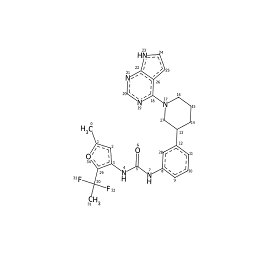 Cc1cc(NC(=O)Nc2cccc(C3CCCN(c4ncnc5[nH]ccc45)C3)c2)c(C(C)(F)F)o1